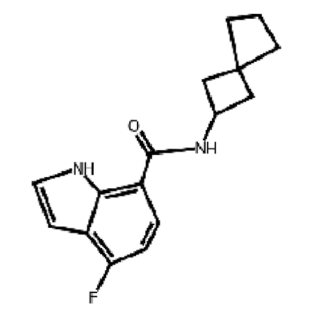 O=C(NC1CC2(CCC2)C1)c1ccc(F)c2cc[nH]c12